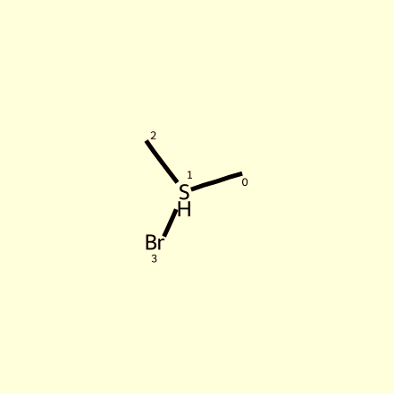 C[SH](C)Br